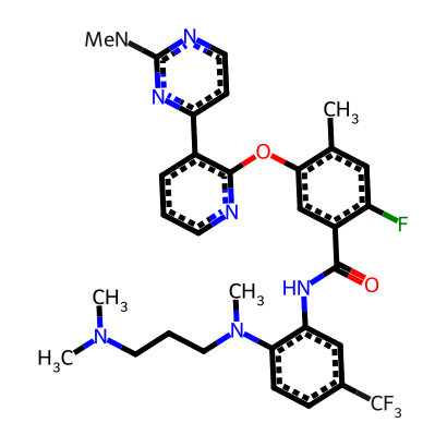 CNc1nccc(-c2cccnc2Oc2cc(C(=O)Nc3cc(C(F)(F)F)ccc3N(C)CCCN(C)C)c(F)cc2C)n1